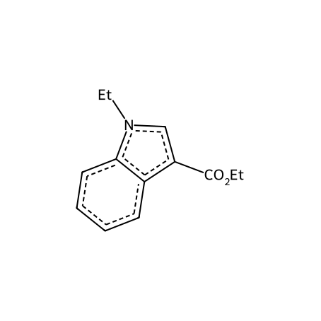 CCOC(=O)c1cn(CC)c2ccccc12